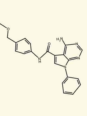 COCc1ccc(NC(=O)c2cn(-c3ccccc3)c3ncnc(N)c23)cc1